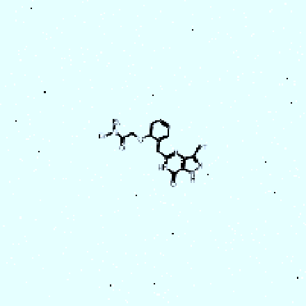 CCN(CC)C(=O)COc1ccccc1Cc1nc2c(C(C)C)n[nH]c2c(=O)[nH]1